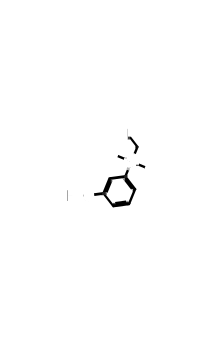 C[Si](C)(CI)c1cccc(C(F)(F)F)c1